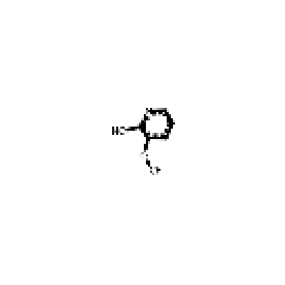 N#Cc1ncccc1OC(F)(F)F